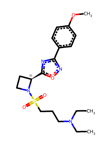 CCN(CC)CCCS(=O)(=O)N1CC[C@H]1c1nc(-c2ccc(OC)cc2)no1